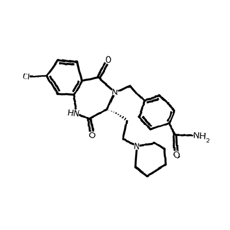 NC(=O)c1ccc(CN2C(=O)c3ccc(Cl)cc3NC(=O)[C@H]2CCN2CCCCC2)cc1